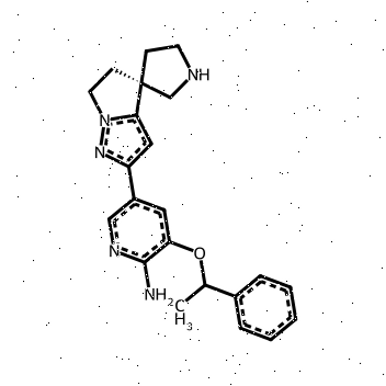 CC(Oc1cc(-c2cc3n(n2)CC[C@@]32CCNC2)cnc1N)c1ccccc1